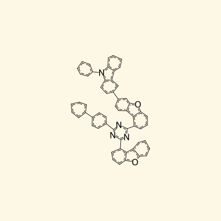 c1ccc(-c2ccc(-c3nc(-c4cccc5oc6ccccc6c45)nc(-c4cccc5oc6cc(-c7ccc8c(c7)c7ccccc7n8-c7ccccc7)ccc6c45)n3)cc2)cc1